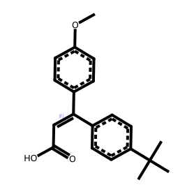 COc1ccc(/C(=C/C(=O)O)c2ccc(C(C)(C)C)cc2)cc1